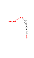 O=[Si]([O-])[O-].O=[Si]([O-])[O-].O=[Si]([O-])[O-].O=[Si]([O-])[O-].O=[Si]([O-])[O-].O=[Si]([O-])[O-].O=[Si]([O-])[O-].O=[Si]([O-])[O-].O=[Si]([O-])[O-].O=[Si]([O-])[O-].O=[Si]([O-])[O-].O=[Si]([O-])[O-].O=[Si]([O-])[O-].[Al+3].[Al+3].[Ca+2].[Ca+2].[Ga+3].[Ga+3].[Ta+5].[Ta+5]